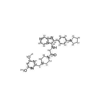 COc1cc(OC)nc(CN2CCN(C(=O)CNc3c(-c4ccc(N5CCCC5)cc4)nc4cnccn34)CC2)n1